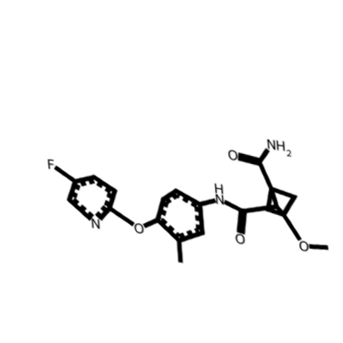 COC12CC(C(N)=O)(C1)C2C(=O)Nc1ccc(Oc2ccc(F)cn2)c(C)c1